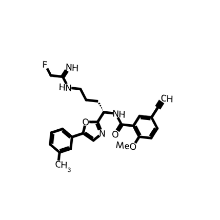 C#Cc1ccc(OC)c(C(=O)N[C@@H](CCCNC(=N)CF)c2ncc(-c3cccc(C)c3)o2)c1